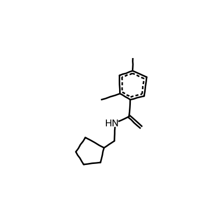 C=C(NCC1CCCC1)c1ccc(C)cc1C